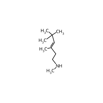 CNCC/C(C)=C/C(C)(C)C